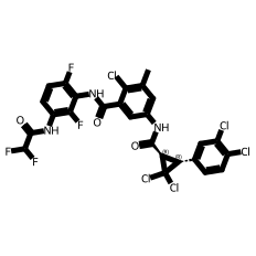 Cc1cc(NC(=O)[C@H]2[C@H](c3ccc(Cl)c(Cl)c3)C2(Cl)Cl)cc(C(=O)Nc2c(F)ccc(NC(=O)C(F)F)c2F)c1Cl